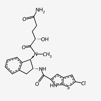 CN(C(=O)[C@@H](O)CCC(N)=O)[C@@H]1c2ccccc2C[C@H]1NC(=O)c1cc2cc(Cl)sc2[nH]1